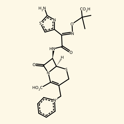 CC(C)(O/N=C(/C(=O)N[C@@H]1C(=O)N2C(C(=O)O)=C(C[n+]3ccccc3)CS[C@H]12)c1csc(N)n1)C(=O)O